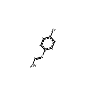 CCCC=Nc1ccc(Br)cc1